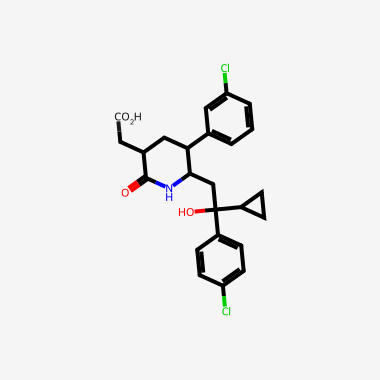 O=C(O)CC1CC(c2cccc(Cl)c2)C(CC(O)(c2ccc(Cl)cc2)C2CC2)NC1=O